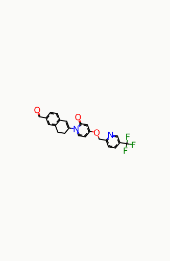 O=Cc1ccc2c(c1)CCC(n1ccc(OCc3ccc(C(F)(F)F)cn3)cc1=O)=C2